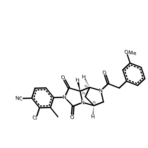 COc1cccc(CC(=O)N2C[C@@H]3C[C@H]2[C@H]2C(=O)N(c4ccc(C#N)c(Cl)c4C)C(=O)N32)c1